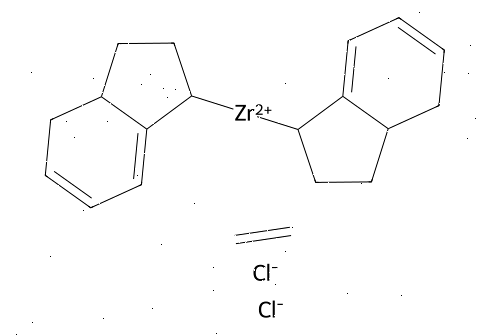 C1=CCC2CC[CH]([Zr+2][CH]3CCC4CC=CC=C43)C2=C1.C=C.[Cl-].[Cl-]